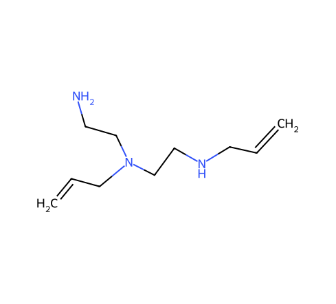 C=CCNCCN(CC=C)CCN